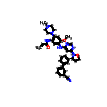 C=CC(=O)Nc1cc(Nc2cc(N3OCC[C@@H]3c3cccc(-c4cccc(C#N)c4)c3)ncn2)c(OC)cc1N1CCN(C)CC1